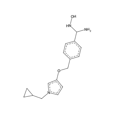 NC(NO)c1ccc(COc2ccn(CC3CC3)c2)cc1